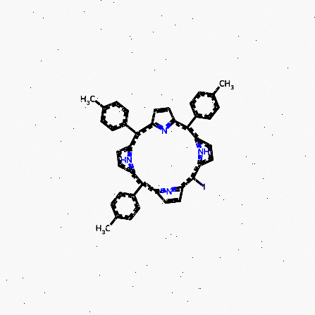 Cc1ccc(-c2c3nc(c(-c4ccc(C)cc4)c4ccc([nH]4)c(-c4ccc(C)cc4)c4nc(c(I)c5ccc2[nH]5)C=C4)C=C3)cc1